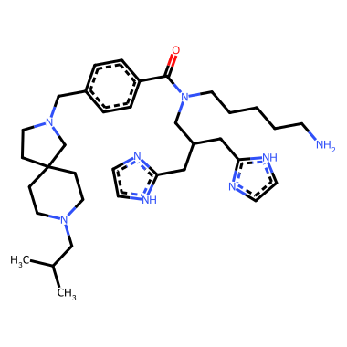 CC(C)CN1CCC2(CC1)CCN(Cc1ccc(C(=O)N(CCCCCN)CC(Cc3ncc[nH]3)Cc3ncc[nH]3)cc1)C2